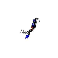 COC(CCCn1ccnn1)c1ccc(OCc2ccc(-c3ccc(C(F)(F)F)nc3)nc2C)cc1